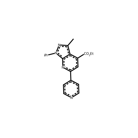 CCOC(=O)c1cc(-c2ccncc2)nc2c1c(C)nn2C(C)C